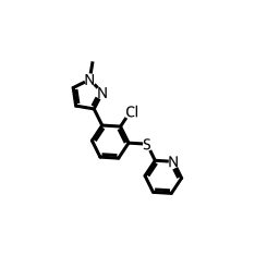 Cn1ccc(-c2cccc(Sc3ccccn3)c2Cl)n1